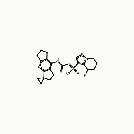 NS(=O)(=NC(=O)Nc1c2c(nc3c1CCC31CC1)CCC2)c1cnn2c1C(F)CCC2